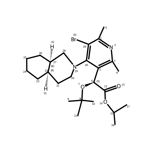 Cc1nc(C)c([C@H](OC(C)(C)C)C(=O)OC(C)C)c(N2CC[C@H]3CCCC[C@H]3C2)c1Br